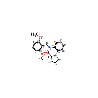 COc1cccc(OC)c1CN1C(=O)C2CCCN2c2ccccc21